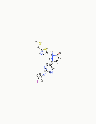 CSCc1ncc(Cn2nc(-c3cnc(NCC(C)(C)I)nc3)ccc2=O)s1